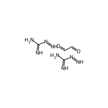 N=NC(=N)N.N=NC(=N)N.O=CC=O